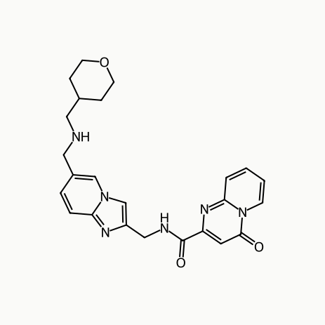 O=C(NCc1cn2cc(CNCC3CCOCC3)ccc2n1)c1cc(=O)n2ccccc2n1